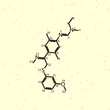 CCN(C)/C=N/c1cc(C)c(/C(CSc2cccc(OC)c2)=N/C)cc1C